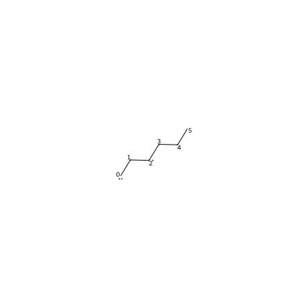 [CH]C[CH]CCC